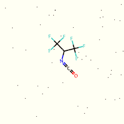 O=C=NC(C(F)(F)F)C(F)(F)F